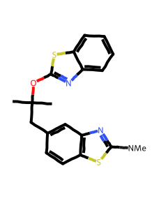 CNc1nc2cc(CC(C)(C)Oc3nc4ccccc4s3)ccc2s1